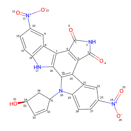 O=C1NC(=O)c2c1c1c3cc([N+](=O)[O-])ccc3[nH]c1c1c2c2cc([N+](=O)[O-])ccc2n1C1C=C[C@@H](O)C1